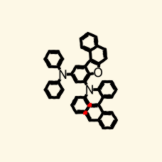 c1ccc(N(c2ccccc2)c2cc(N(c3ccccc3)c3ccccc3-c3cccc4ccccc34)c3oc4ccc5ccccc5c4c3c2)cc1